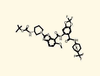 COc1ccc2nc(N3CCC[C@@H](NC(=O)OC(C)(C)C)C3)sc2c1C(=O)Nc1cc2c(cc1C(=O)NC13CCC(C(F)(F)F)(CC1)OC3)OC(F)(F)O2